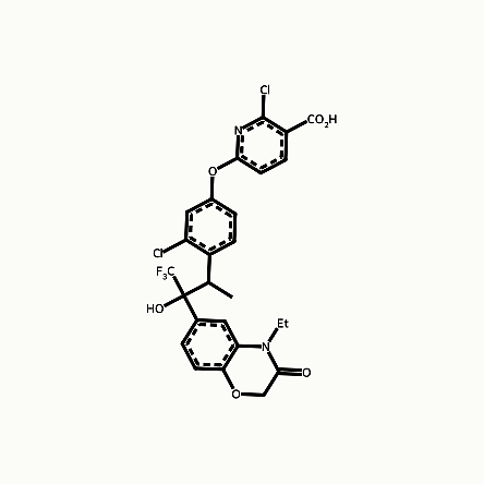 CCN1C(=O)COc2ccc(C(O)(C(C)c3ccc(Oc4ccc(C(=O)O)c(Cl)n4)cc3Cl)C(F)(F)F)cc21